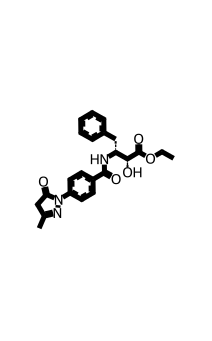 CCOC(=O)[C@H](O)[C@@H](Cc1ccccc1)NC(=O)c1ccc(N2N=C(C)CC2=O)cc1